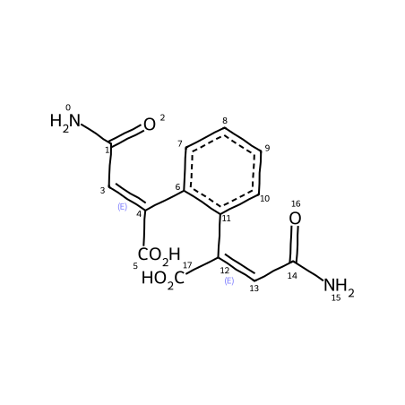 NC(=O)/C=C(/C(=O)O)c1ccccc1/C(=C\C(N)=O)C(=O)O